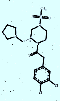 CS(=O)(=O)N1CCN(C(=O)Cc2ccc(Cl)c(Cl)c2)[C@H](CN2CCCC2)C1